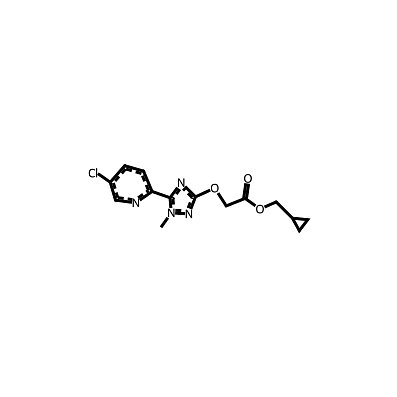 Cn1nc(OCC(=O)OCC2CC2)nc1-c1ccc(Cl)cn1